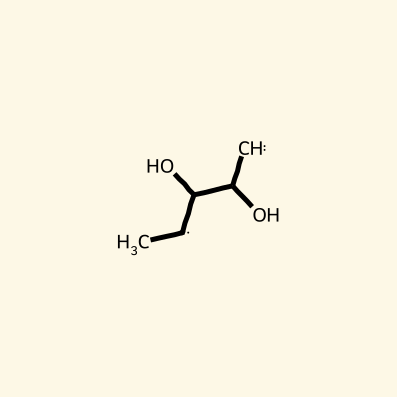 [CH]C(O)C(O)[CH]C